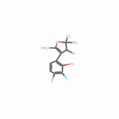 CCOC(=O)C1=C(c2ccc(F)c(F)c2O)C(CC)C(C)(C(F)(F)F)O1